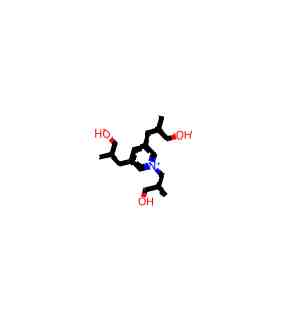 CC(CO)Cc1cc(CC(C)CO)c[n+](CC(C)CO)c1